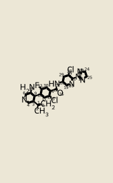 C=C(C)c1cncc(N)c1-c1cc(Cl)c(C(=O)Nc2cnc(-n3nccn3)c(Cl)c2)cc1F